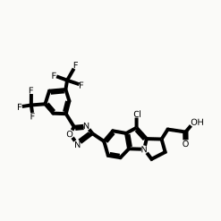 O=C(O)CC1CCn2c1c(Cl)c1cc(-c3noc(-c4cc(C(F)(F)F)cc(C(F)(F)F)c4)n3)ccc12